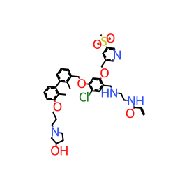 C=CC(=O)NCCNCc1cc(Cl)c(OCc2cccc(-c3cccc(OCCCN4CCC(O)C4)c3C)c2C)cc1OCc1cncc(S(C)(=O)=O)c1